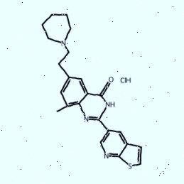 Cc1cc(CCN2CCCCC2)cc2c(=O)[nH]c(-c3cnc4sccc4c3)nc12.Cl